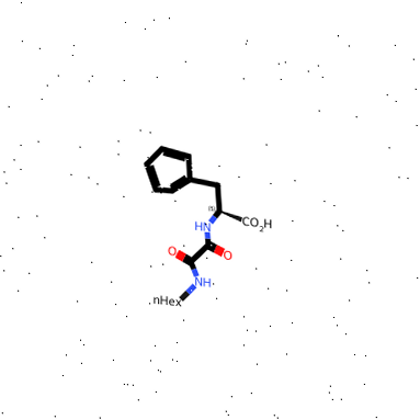 CCCCCCNC(=O)C(=O)N[C@@H](Cc1ccccc1)C(=O)O